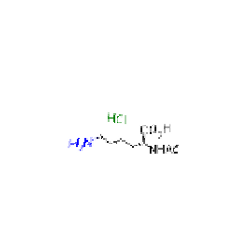 CC(=O)N[C@@H](CCCCN)C(=O)O.Cl